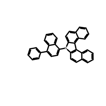 c1ccc(-c2ccc(-n3c4ccc5ccccc5c4c4c5ccccc5ccc43)c3ccccc23)cc1